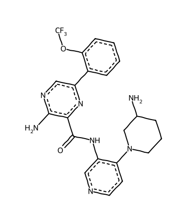 Nc1ncc(-c2ccccc2OC(F)(F)F)nc1C(=O)Nc1cnccc1N1CCCC(N)C1